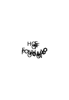 O=C(NC1CCC(F)(F)CC1)N1CCN(c2nc(-c3ccc4ccccc4n3)no2)CC1.O=C(O)C(F)(F)F